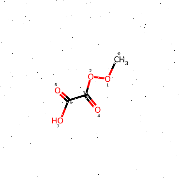 COOC(=O)C(=O)O